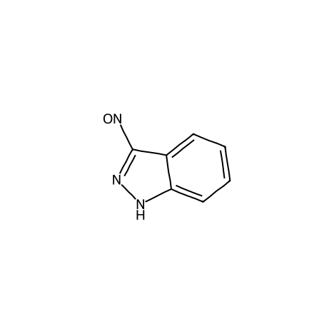 O=Nc1n[nH]c2ccccc12